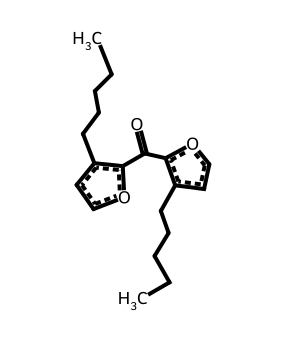 CCCCCc1ccoc1C(=O)c1occc1CCCCC